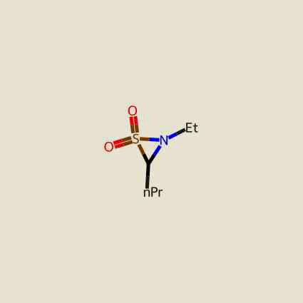 CCCC1N(CC)S1(=O)=O